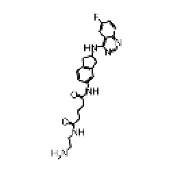 NCCNC(=O)CCCC(=O)Nc1ccc2c(c1)CC(Nc1ncnc3ccc(F)cc13)C2